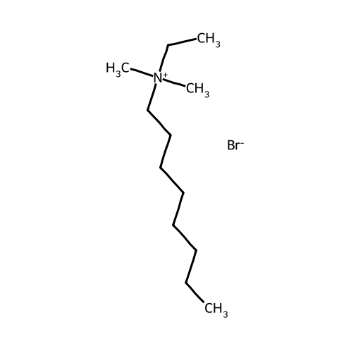 CCCCCCCC[N+](C)(C)CC.[Br-]